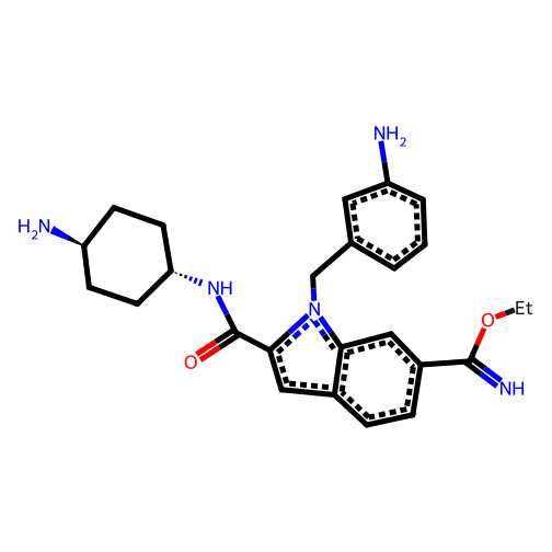 CCOC(=N)c1ccc2cc(C(=O)N[C@H]3CC[C@H](N)CC3)n(Cc3cccc(N)c3)c2c1